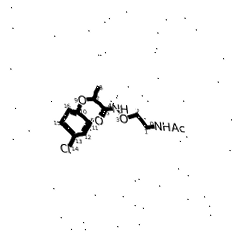 CC(=O)NCCONC(=O)C(C)Oc1ccc(Cl)cc1